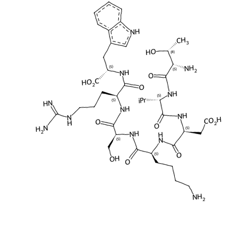 CC(C)[C@H](NC(=O)[C@@H](N)[C@@H](C)O)C(=O)N[C@@H](CC(=O)O)C(=O)N[C@@H](CCCCN)C(=O)N[C@@H](CO)C(=O)N[C@@H](CCCNC(=N)N)C(=O)N[C@@H](Cc1c[nH]c2ccccc12)C(=O)O